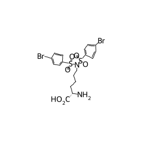 N[C@@H](CCCCN(S(=O)(=O)c1ccc(Br)cc1)S(=O)(=O)c1ccc(Br)cc1)C(=O)O